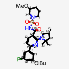 COC1CCCN(S(=O)(=O)NC(=O)c2ccc(-c3cc(F)cc(OCC(C)C)c3)nc2N2C[C@@H](C)CC2(C)C)C1